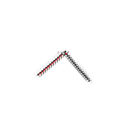 ClC(Cl)Cl.ClC(Cl)Cl.ClC(Cl)Cl.ClC(Cl)Cl.ClC(Cl)Cl.ClC(Cl)Cl.ClC(Cl)Cl.ClC(Cl)Cl.ClC(Cl)Cl.ClC(Cl)Cl.ClC(Cl)Cl.ClC(Cl)Cl.ClC(Cl)Cl.ClC(Cl)Cl.ClC(Cl)Cl.ClC(Cl)Cl.ClC(Cl)Cl.ClC(Cl)Cl.ClC(Cl)Cl.ClC(Cl)Cl.ClC(Cl)Cl.ClC(Cl)Cl.ClC(Cl)Cl.ClC(Cl)Cl.ClC(Cl)Cl.ClC(Cl)Cl.ClC(Cl)Cl.ClC(Cl)Cl.ClC(Cl)Cl.OCCC(Cl)(Cl)Cl